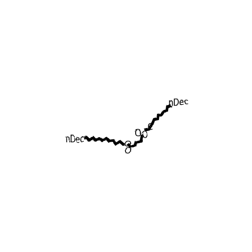 CCCCCCCCCCCCCCCCCCCCCCOC(=O)CCCC(=O)OCCCCCCCCCCCCCCCCCCCCCC